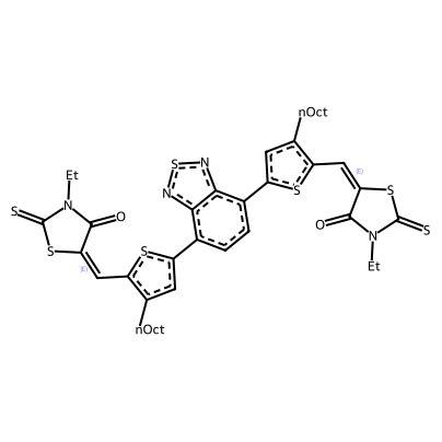 CCCCCCCCc1cc(-c2ccc(-c3cc(CCCCCCCC)c(/C=C4/SC(=S)N(CC)C4=O)s3)c3nsnc23)sc1/C=C1/SC(=S)N(CC)C1=O